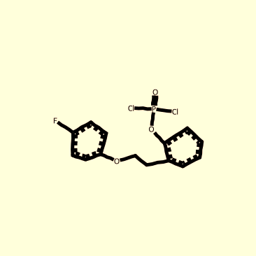 O=P(Cl)(Cl)Oc1ccccc1CCOc1ccc(F)cc1